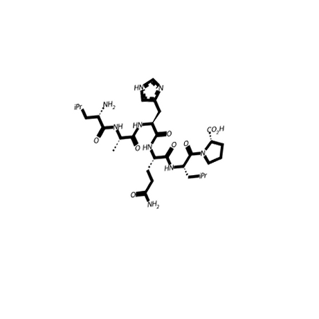 CC(C)C[C@H](NC(=O)[C@H](CCC(N)=O)NC(=O)[C@H](Cc1c[nH]cn1)NC(=O)[C@H](C)NC(=O)[C@@H](N)CC(C)C)C(=O)N1CCC[C@H]1C(=O)O